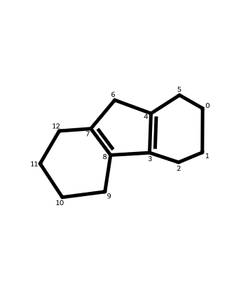 C1CCC2=C(C1)CC1=C2CCCC1